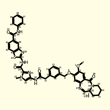 COc1cc2c(cc1OCc1cccc(CC(=O)Nc3cn(C)c(C(=O)Nc4nc5cc(C(=O)Nc6ccccc6)ccc5s4)n3)c1)N=C[C@@H]1CCCCN1C2=O